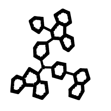 c1ccc(-c2c(-c3cccc(N(c4ccc(-c5cccc6ccccc56)cc4)c4cc5ccccc5c5ccccc45)c3)c3ccccc3c3ccccc23)cc1